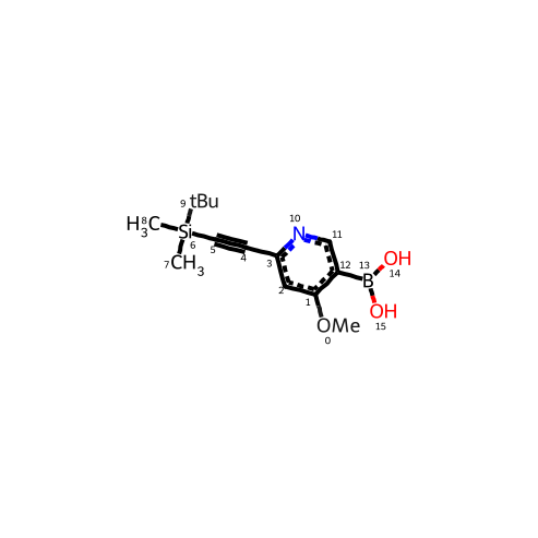 COc1cc(C#C[Si](C)(C)C(C)(C)C)ncc1B(O)O